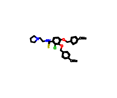 COc1ccc(COc2ccc(C(=S)NCCN3CCCC3)c(Cl)c2OCc2ccc(OC)cc2)cc1